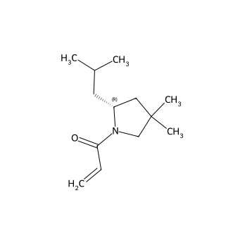 C=CC(=O)N1CC(C)(C)C[C@H]1CC(C)C